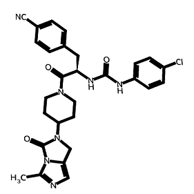 Cc1ncc2n1C(=O)N(C1CCN(C(=O)[C@@H](Cc3ccc(C#N)cc3)NC(=O)Nc3ccc(Cl)cc3)CC1)C2